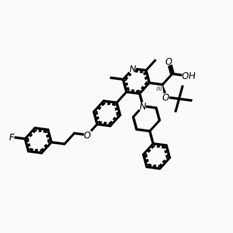 Cc1nc(C)c([C@H](OC(C)(C)C)C(=O)O)c(N2CCC(c3ccccc3)CC2)c1-c1ccc(OCCc2ccc(F)cc2)cc1